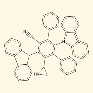 N#Cc1c(-c2ccccc2)c(-n2c3ccccc3c3ccccc32)c(-c2ccccc2)c(C2CN2)c1C1c2ccccc2-c2ccccc21